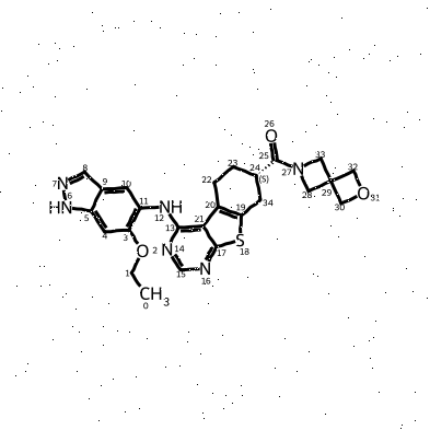 CCOc1cc2[nH]ncc2cc1Nc1ncnc2sc3c(c12)CC[C@H](C(=O)N1CC2(COC2)C1)C3